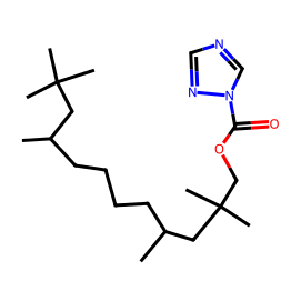 CC(CCCCC(C)CC(C)(C)COC(=O)n1cncn1)CC(C)(C)C